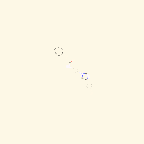 O=C(COc1ccc(F)c(F)c1)NC12CC(n3cnc([C@H]4C[C@@H](OC(F)(F)F)C4)c3)(C1)C2